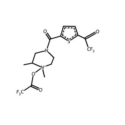 CC1CN(C(=O)c2ccc(C(=O)C(F)(F)F)s2)CC[N+]1(C)OC(=O)C(F)(F)F